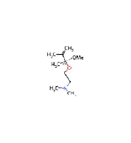 C=C(C)[C@@](C)(OC)OCCN(C)C